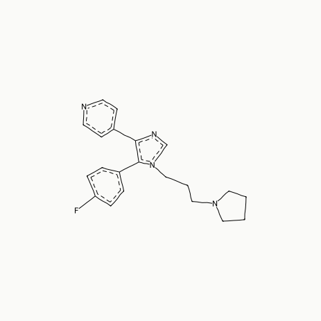 Fc1ccc(-c2c(-c3ccncc3)ncn2CCCN2CCCC2)cc1